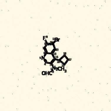 CN(C=O)c1cnc2cc(F)c(Br)cc2c1C1CCC1